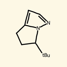 CC(C)(C)C1CCc2ccnn21